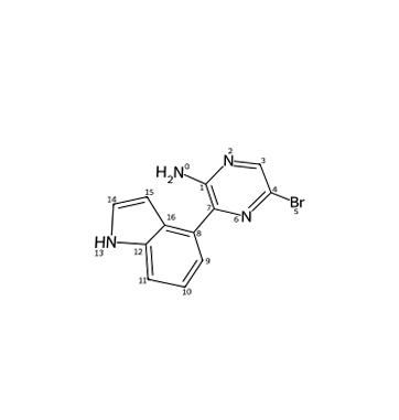 Nc1ncc(Br)nc1-c1cccc2[nH]ccc12